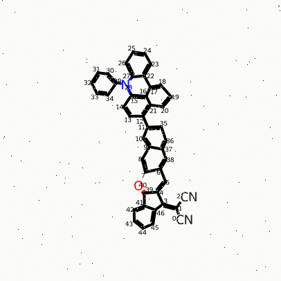 N#CC(C#N)=C1/C(=C/c2ccc3cc(-c4ccc5c6c(cccc46)-c4ccccc4N5c4ccccc4)ccc3c2)C(=O)c2ccccc21